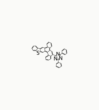 c1ccc(-c2nc(-c3ccccc3)nc(-c3cc4c5ccccc5c5cc6c(cc5c4c4ccccc34)sc3ccccc36)n2)cc1